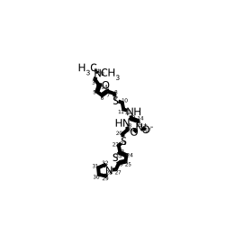 CN(C)Cc1ccc(CSCCNC(=C[N+](=O)[O-])NCCSCc2ccc(CN3CCCC3)s2)o1